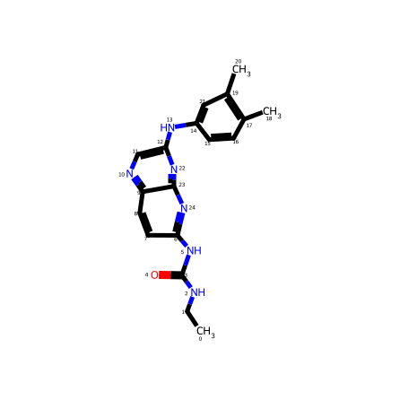 CCNC(=O)Nc1ccc2ncc(Nc3ccc(C)c(C)c3)nc2n1